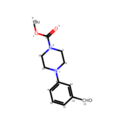 CC(C)(C)OC(=O)N1CCN(c2cccc([C]=O)c2)CC1